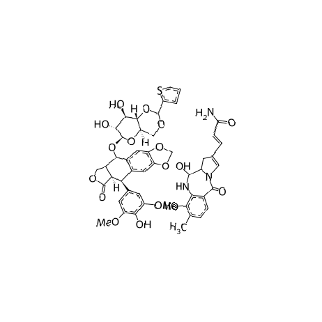 COc1cc([C@@H]2c3cc4c(cc3C(O[C@@H]3O[C@@H]5COC(c6cccs6)O[C@H]5[C@H](O)[C@H]3O)C3COC(=O)[C@@H]32)OCO4)cc(OC)c1O.Cc1ccc2c(c1O)NC(O)C1CC(/C=C/C(N)=O)=CN1C2=O